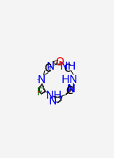 CN1c2cccc(c2F)Nc2cc(ccn2)-c2cnc(nc2)NCCCNC(=O)C2(CC2)N2CCC1CC2